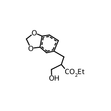 CCOC(=O)C(CO)Cc1ccc2c(c1)OCO2